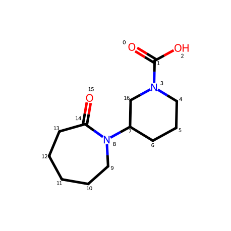 O=C(O)N1CCCC(N2CCCCCC2=O)C1